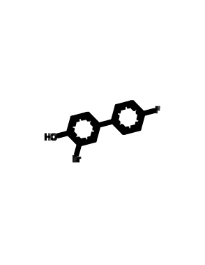 Oc1ccc(-c2ccc(F)cc2)cc1Br